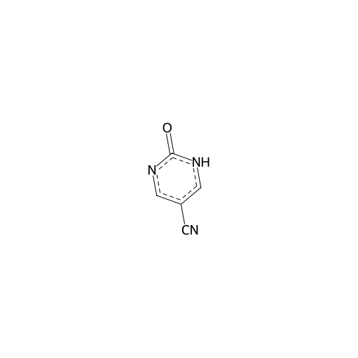 N#Cc1cnc(=O)[nH]c1